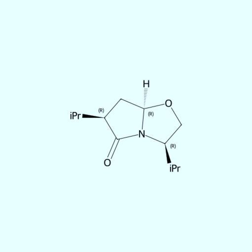 CC(C)[C@H]1C[C@H]2OC[C@@H](C(C)C)N2C1=O